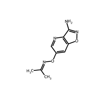 CC(C)=NOc1cnc2c(N)noc2c1